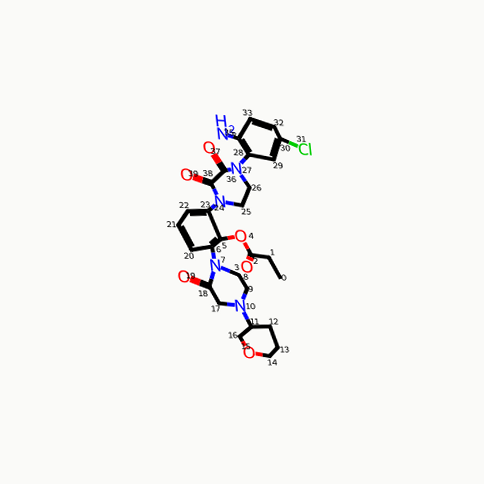 CCC(=O)Oc1c(N2CCN(C3CCCOC3)CC2=O)cccc1N1CCN(c2cc(Cl)ccc2N)C(=O)C1=O